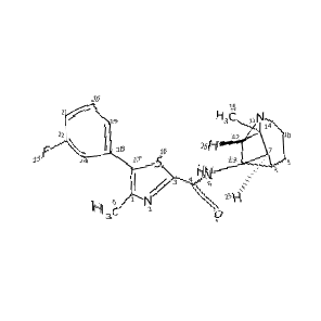 Cc1nc(C(=O)N[C@@H]2C3CCN(CC3)[C@H]2C)sc1-c1cccc(F)c1